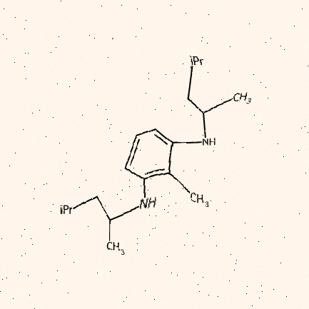 Cc1c(NC(C)CC(C)C)cccc1NC(C)CC(C)C